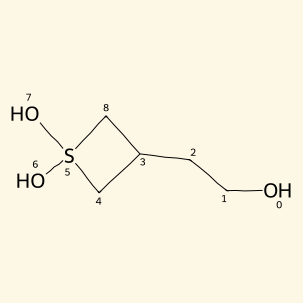 OCCC1CS(O)(O)C1